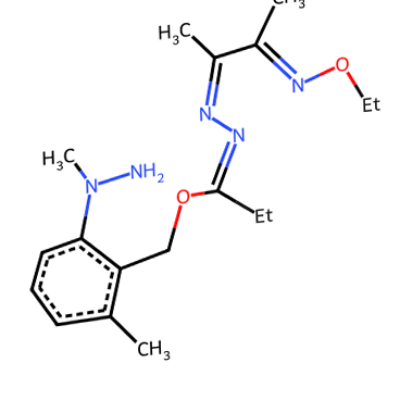 CCON=C(C)C(C)=N/N=C(/CC)OCc1c(C)cccc1N(C)N